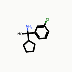 N#CC(N)(c1cccc(Cl)c1)C1CCCC1